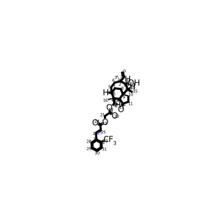 C=C[C@]1(C)CC[C@@H]2CC[C@]3(CCC(=O)[C@H]3[C@]2(C)COC(=O)COC(=O)/C=C/c2ccccc2C(F)(F)F)[C@@H](C)[C@@H]1O